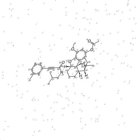 COc1cc(OC(C)=O)c2c3c1O[C@H]1[C@@H](N(CC(C)C)C(=O)C#Cc4cccc(C)c4)CC[C@H]4[C@@H](C2)N(C)CC[C@@]341